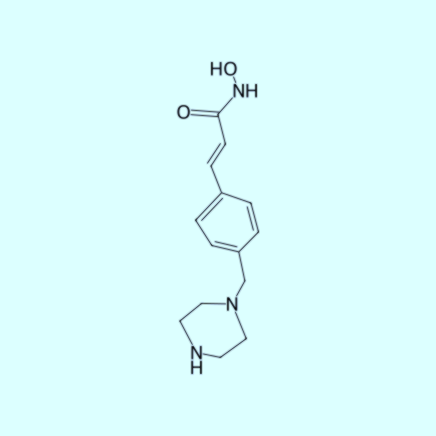 O=C(C=Cc1ccc(CN2CCNCC2)cc1)NO